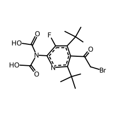 CC(C)(C)c1nc(N(C(=O)O)C(=O)O)c(F)c(C(C)(C)C)c1C(=O)CBr